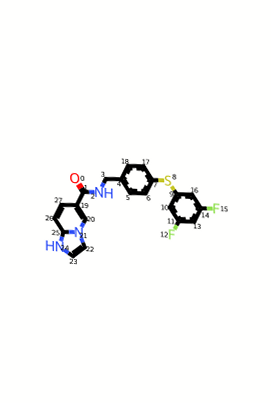 O=C(NCc1ccc(Sc2cc(F)cc(F)c2)cc1)C1=CN2C=CNC2C=C1